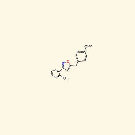 COc1ccc(Cc2cc(-c3ccccc3C)no2)cc1